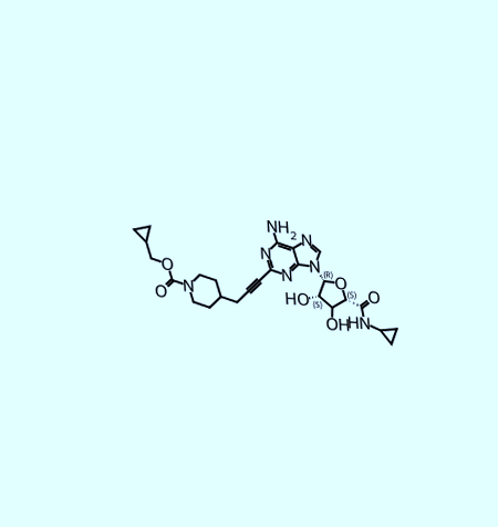 Nc1nc(C#CCC2CCN(C(=O)OCC3CC3)CC2)nc2c1ncn2[C@@H]1O[C@H](C(=O)NC2CC2)C(O)[C@@H]1O